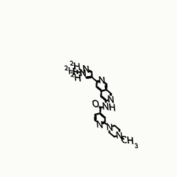 [2H]C([2H])([2H])n1cc(-c2cc3cc(NC(=O)c4ccnc(N5CCN(C)CC5)c4)ncc3cn2)cn1